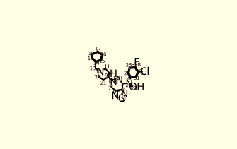 N=C(c1nonc1CNC1CCN(Cc2ccccc2)CC1)N(O)c1ccc(F)c(Cl)c1